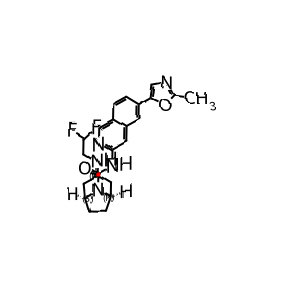 Cc1ncc(-c2ccc3cnc(NC(=O)N4[C@@H]5CC[C@H]4C[C@@H](NCC(F)F)C5)cc3c2)o1